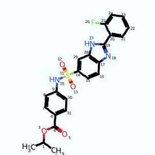 CC(C)OC(=O)c1ccc(NS(=O)(=O)c2ccc3nc(-c4ccccc4F)[nH]c3c2)cc1